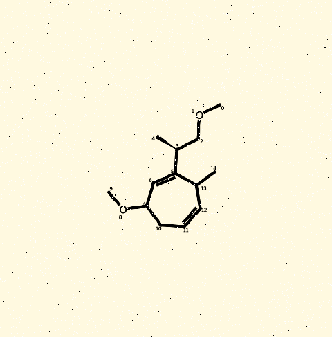 COC[C@H](C)C1=CC(OC)CC=CC1C